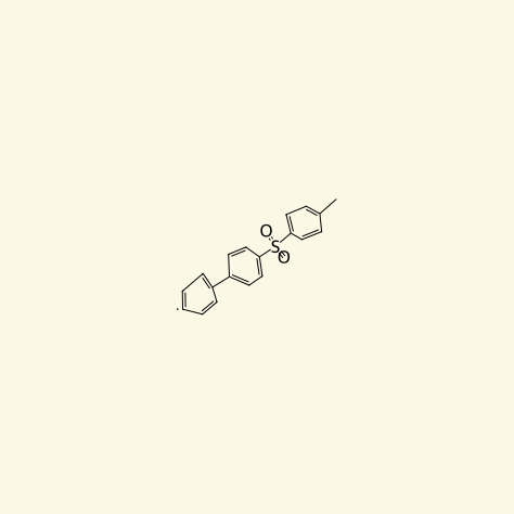 Cc1ccc(S(=O)(=O)c2ccc(-c3cc[c]cc3)cc2)cc1